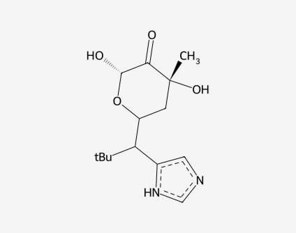 CC(C)(C)C(c1cnc[nH]1)C1C[C@@](C)(O)C(=O)[C@@H](O)O1